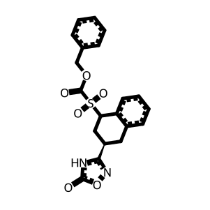 O=C(OCc1ccccc1)S(=O)(=O)C1C[C@H](c2noc(=O)[nH]2)Cc2ccccc21